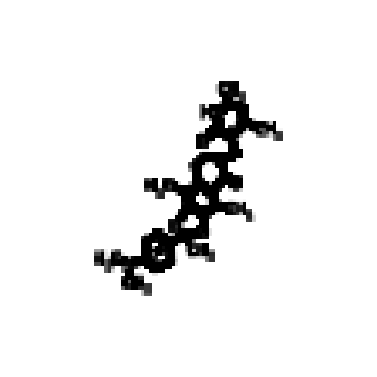 Cc1cc(C)c(CN2CCc3c(C)c4c(c(C)c3C2=O)OC(C)(C23CCC(N(C)C)(CC2)CC3)O4)c(=O)[nH]1